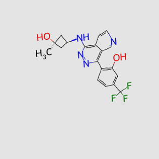 C[C@]1(O)C[C@@H](Nc2nnc(-c3ccc(C(F)(F)F)cc3O)c3cnccc23)C1